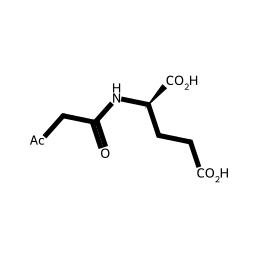 CC(=O)CC(=O)N[C@H](CCC(=O)O)C(=O)O